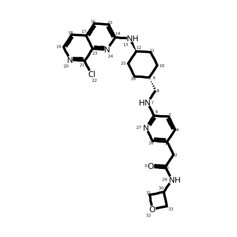 O=C(Cc1ccc(NC[C@H]2CC[C@H](Nc3ccc4ccnc(Cl)c4n3)CC2)nc1)NC1COC1